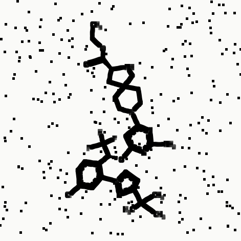 CCOC(=O)[C@@H]1CC2(CCN(c3cc(O[C@H](c4ccc(Cl)cc4-n4ccc(C(C)(C)C)n4)C(F)(F)F)nc(N)n3)CC2)CN1